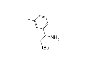 Cc1cccc(C(N)CC(C)(C)C)c1